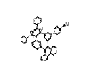 N#Cc1ccc(-c2cc(-c3nc(-c4ccccc4)nc(-c4ccccc4)n3)cc(-c3c(-c4ccccc4)c4ccccc4c4ccccc34)c2)cc1